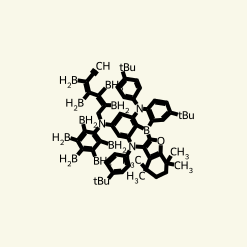 B/C(C#C)=C(B)/C(B)=C(/B)CN(c1cc2c3c(c1)N(c1ccc(C(C)(C)C)cc1)c1c(oc4c1C(C)(C)CCC4(C)C)B3c1cc(C(C)(C)C)ccc1N2c1ccc(C(C)(C)C)cc1)c1c(B)c(B)c(B)c(B)c1B